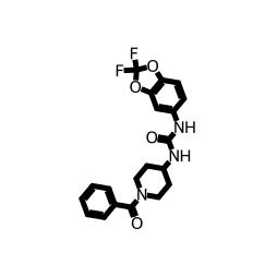 O=C(Nc1ccc2c(c1)OC(F)(F)O2)NC1CCN(C(=O)c2ccccc2)CC1